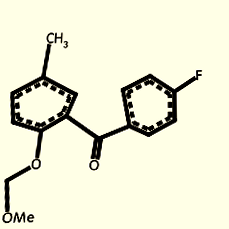 COCOc1ccc(C)cc1C(=O)c1ccc(F)cc1